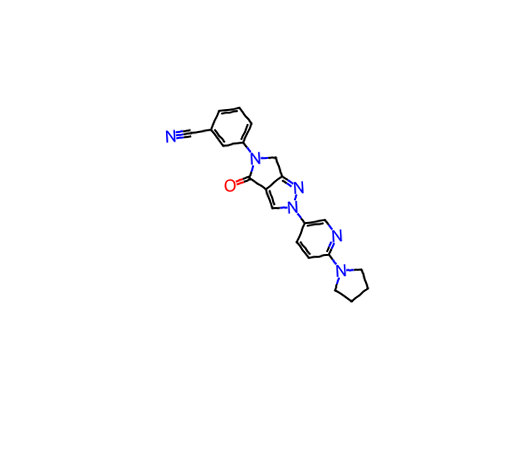 N#Cc1cccc(N2Cc3nn(-c4ccc(N5CCCC5)nc4)cc3C2=O)c1